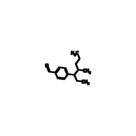 CCCC(C)C(CC)c1ccc(C=O)cc1